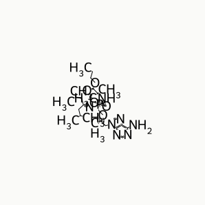 CCCOC(=O)C(C)(C)N[P@](=O)(CO[C@H](C)Cn1cnc2c(N)ncnc21)ON=C(CC(C)C)CC(C)C